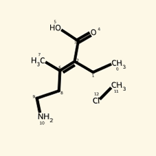 CCC(C(=O)O)=C(C)CCN.CCl